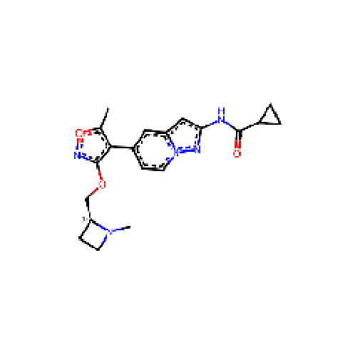 Cc1onc(OC[C@@H]2CCN2C)c1-c1ccn2nc(NC(=O)C3CC3)cc2c1